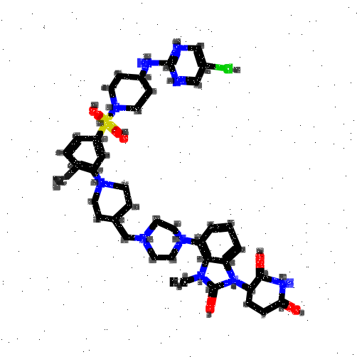 Cn1c(=O)n(C2CCC(=O)NC2=O)c2cccc(N3CCN(CC4CCN(c5cc(S(=O)(=O)N6CCC(Nc7ncc(Cl)cn7)CC6)ccc5C#N)CC4)CC3)c21